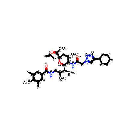 C=CC[C@]1(C(=O)OC)C[C@H](OC(C)=O)[C@@H](NC(=O)Cn2cc(C3CCCCC3)nn2)[C@H](C(OC(C)=O)C(CNC(=O)c2cc(C)c(OC(C)=O)c(C)c2)OC(C)=O)O1